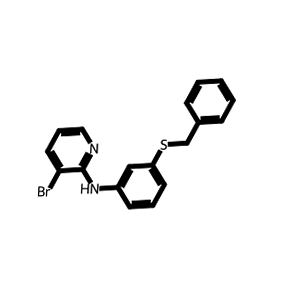 Brc1cccnc1Nc1cccc(SCc2ccccc2)c1